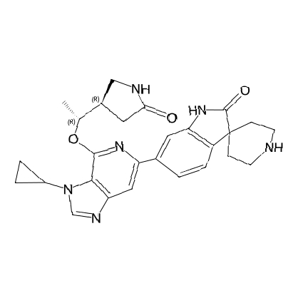 C[C@@H](Oc1nc(-c2ccc3c(c2)NC(=O)C32CCNCC2)cc2ncn(C3CC3)c12)[C@H]1CNC(=O)C1